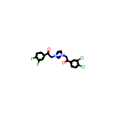 O=C(Cn1cc[n+](CC(=O)c2ccc(Cl)c(Cl)c2)c1)c1ccc(F)c(F)c1